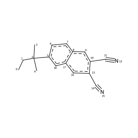 CCC(C)(C)c1ccc2cc(C#N)c(C#N)cc2c1